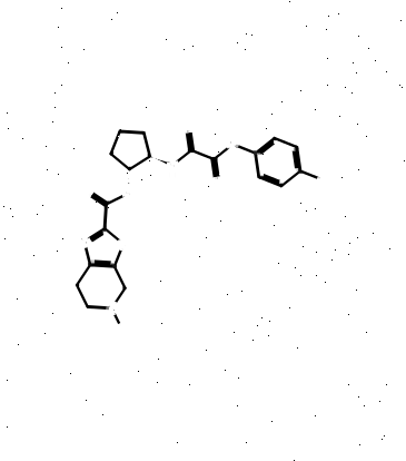 CN1CCc2nc(C(=O)N[C@@H]3CCC[C@H]3NC(=O)C(=O)Nc3ccc(Cl)cc3)sc2C1